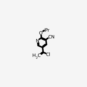 C=C(Cl)c1cnc(OC(C)C)c(C#N)c1